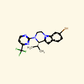 CC(C)[C@H]1c2cc3ccc(S)cc3n2CCN1c1nccc(C(F)(F)F)n1